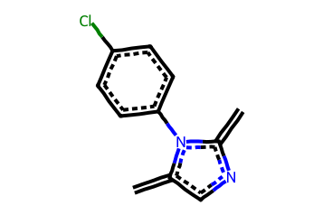 C=c1cnc(=C)n1-c1ccc(Cl)cc1